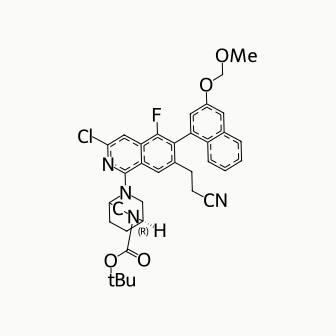 COCOc1cc(-c2c(CCC#N)cc3c(N4C[C@H]5CCC4CN5C(=O)OC(C)(C)C)nc(Cl)cc3c2F)c2ccccc2c1